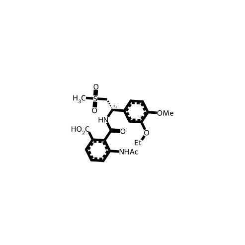 CCOc1cc([C@@H](CS(C)(=O)=O)NC(=O)c2c(NC(C)=O)cccc2C(=O)O)ccc1OC